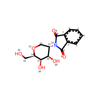 O=C1c2ccccc2C(=O)N1[C@H]1CO[C@H](CO)[C@H](O)[C@@H]1O